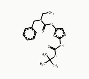 CCN(Cc1ccccc1)C(=O)Oc1cnc(NC(=O)OC(C)(C)C)o1